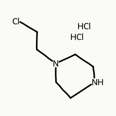 Cl.Cl.ClCCN1CCNCC1